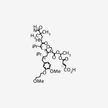 COCCCOc1cc(C[C@@H](C[C@H]2[C@H](C[C@H](C(=O)NCC(C)(C)C(N)=O)C(C)C)OCN2C(=O)OC(C)OC(=O)/C=C/C(=O)O)C(C)C)ccc1OC